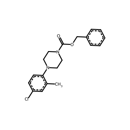 Cc1cc(Cl)ccc1N1CCN(C(=O)OCc2ccccc2)CC1